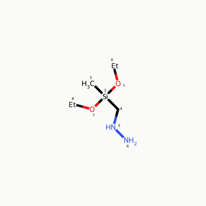 CCO[Si](C)(CNN)OCC